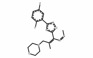 C/N=N\C(=C(/C)CN1CCOCC1)c1nc(-c2cc(F)ccc2F)no1